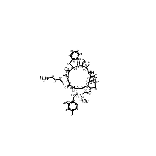 Cc1ccc(SC[C@@H]2NC(=O)[C@H](CCCCN)NC(=O)[C@@H](Cc3ccccc3)NC(=O)[C@@H](C)NC(=O)[C@@H]3CCCN3[C@@H]2C(=O)NC(C)(C)C)c(C)c1